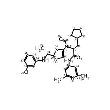 Cc1cc(NC(=O)[C@H](CC2CCCC2)N(C=O)c2cnc([C@@H](C)Nc3cccc(Cl)c3)s2)cc(C)n1